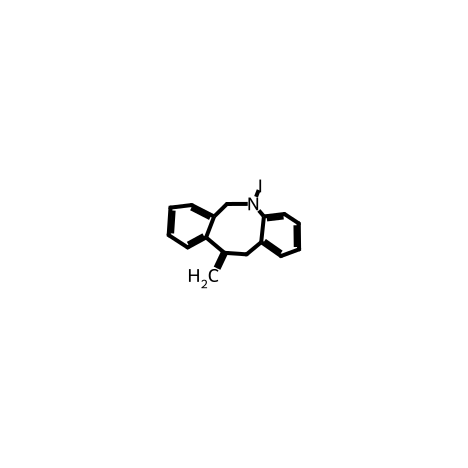 C=C1Cc2ccccc2N(I)Cc2ccccc21